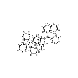 c1ccc(N(c2ccc3c(c2)sc2cccc(C4(c5ccccc5)c5ccccc5-c5ccccc54)c23)c2cccc3ccccc23)cc1